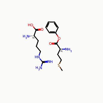 CSCC[C@H](N)C(=O)Oc1ccccc1.N=C(N)NCCC[C@H](N)C(=O)O